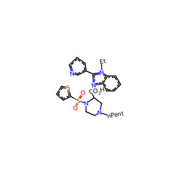 CCCCCN1CCN(S(=O)(=O)c2cccs2)C(C(=O)O)C1.CCn1c(-c2cccnc2)nc2ccccc21